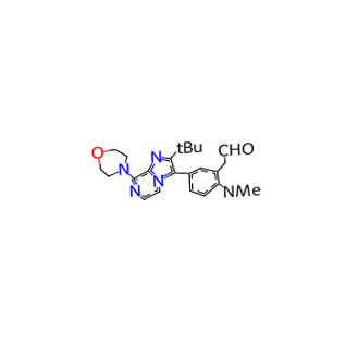 CNc1ccc(-c2c(C(C)(C)C)nc3c(N4CCOCC4)nccn23)cc1CC=O